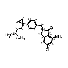 CN(C)CCC1(c2ccc(CN3Cc4cc(Cl)cc(N)c4C3=O)cc2)CC1